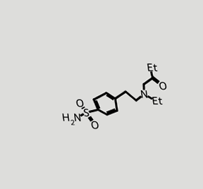 CCC(=O)CN(CC)CCc1ccc(S(N)(=O)=O)cc1